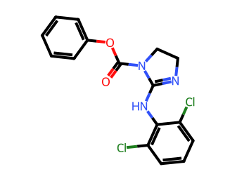 O=C(Oc1ccccc1)N1CCN=C1Nc1c(Cl)cccc1Cl